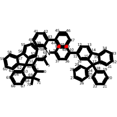 CC1=C(/C=C(\C)N(c2ccc(-c3ccc4c(c3)C(c3ccccc3)(c3ccccc3)c3ccccc3-4)cc2)c2ccccc2-c2c#cccc2)C2(c3ccccc3-c3ccccc32)c2ccccc2C1(C)C